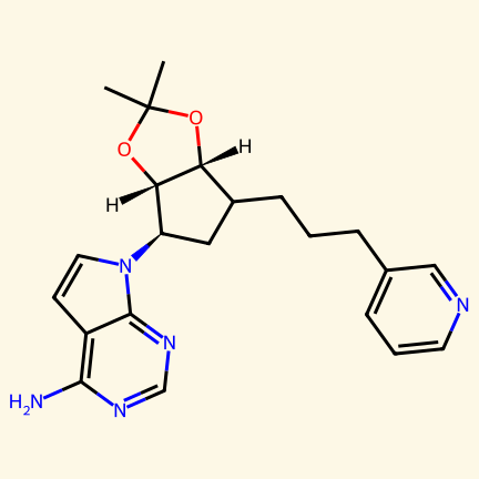 CC1(C)O[C@@H]2[C@H](O1)C(CCCc1cccnc1)C[C@H]2n1ccc2c(N)ncnc21